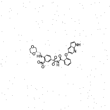 O=C(NS(=O)(=O)c1ccc(NC[C@H]2COCCO2)c([N+](=O)[O-])c1)c1ccccc1Oc1cnc2[nH]ccc2c1